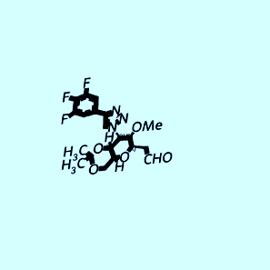 CO[C@@H]1[C@@H](n2cc(-c3cc(F)c(F)c(F)c3)nn2)[C@H]2OC(C)(C)OC[C@H]2O[C@@H]1CC=O